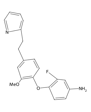 COc1cc(CCc2ccccn2)ccc1Oc1ccc(N)cc1F